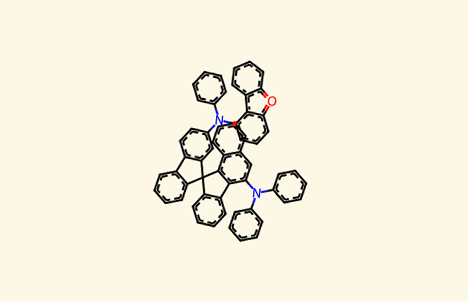 c1ccc(N(c2ccccc2)c2cc3ccccc3c3c2-c2ccccc2C32c3ccccc3-c3ccc(N(c4ccccc4)c4cccc5oc6ccccc6c45)cc32)cc1